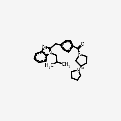 CC(C)Cn1c(Cc2ccc(C(=O)N3CC[C@H](N4CCCC4)C3)cc2)nc2ccccc21